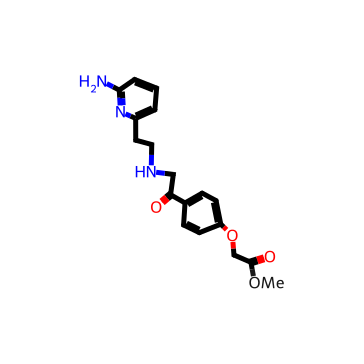 COC(=O)COc1ccc(C(=O)CNCCc2cccc(N)n2)cc1